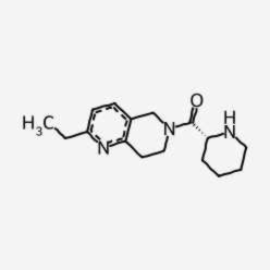 CCc1ccc2c(n1)CCN(C(=O)[C@H]1CCCCN1)C2